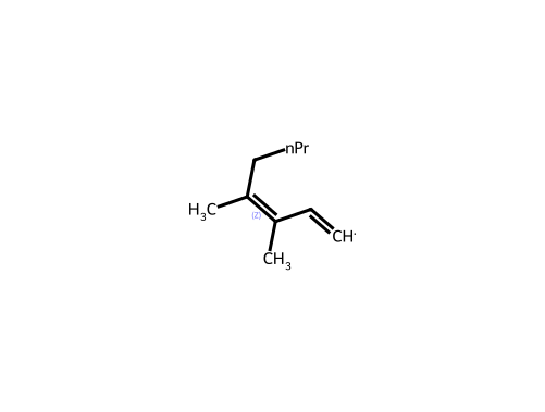 [CH]=C/C(C)=C(/C)CCCC